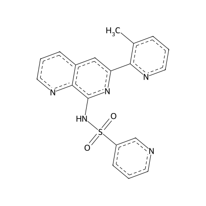 Cc1cccnc1-c1cc2cccnc2c(NS(=O)(=O)c2cccnc2)n1